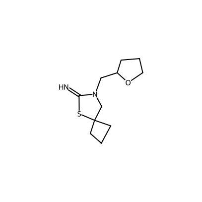 N=C1SC2(CCC2)CN1CC1CCCO1